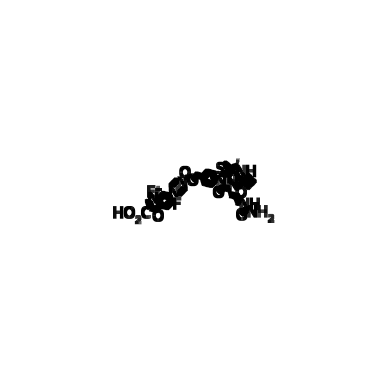 CCn1cc(C(=O)O)c(=O)c2cc(F)c(N3CCN(C(=O)OCc4ccc(NC(=O)[C@H](CCCNC(N)=O)NC(=O)C5(C(=O)N[C@@H](C)c6ccsc6)CCC5)cc4)CC3)cc21